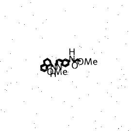 COCC(=O)Nc1ccc2nc(NC3CCCc4cccc(OC)c43)ccc2c1